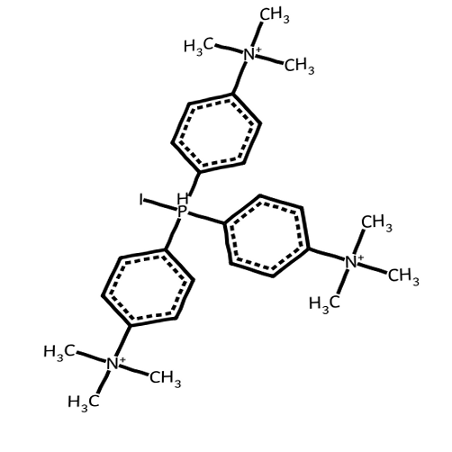 C[N+](C)(C)c1ccc([PH](I)(c2ccc([N+](C)(C)C)cc2)c2ccc([N+](C)(C)C)cc2)cc1